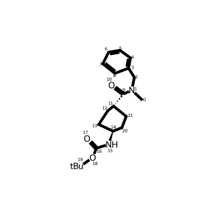 CN(Cc1ccccc1)C(=O)[C@H]1CC[C@H](NC(=O)OC(C)(C)C)CC1